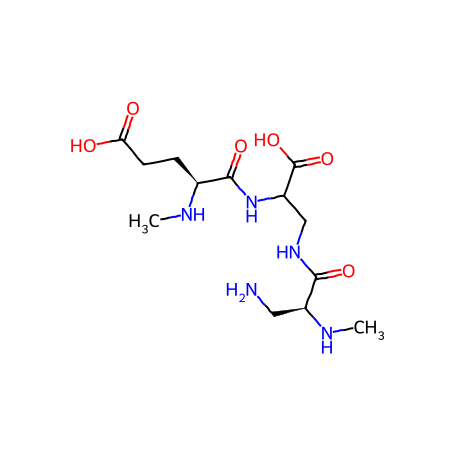 CN[C@@H](CN)C(=O)NCC(NC(=O)[C@H](CCC(=O)O)NC)C(=O)O